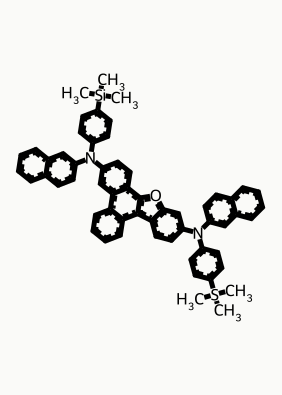 C[Si](C)(C)c1ccc(N(c2ccc3ccccc3c2)c2ccc3c(c2)c2ccccc2c2c4ccc(N(c5ccc(S(C)(C)C)cc5)c5ccc6ccccc6c5)cc4oc32)cc1